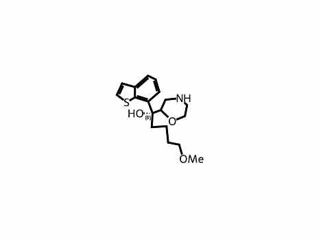 COCCCC[C@@](O)(c1cccc2ccsc12)C1CNCCO1